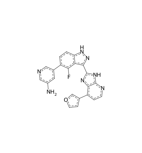 Nc1cncc(-c2ccc3[nH]nc(-c4nc5c(-c6ccoc6)ccnc5[nH]4)c3c2F)c1